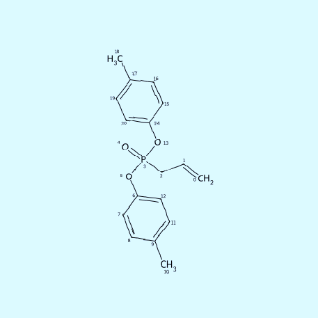 C=CCP(=O)(Oc1ccc(C)cc1)Oc1ccc(C)cc1